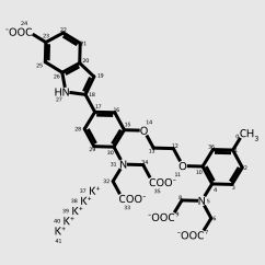 Cc1ccc(N(CC(=O)[O-])CC(=O)[O-])c(OCCOc2cc(-c3cc4ccc(C(=O)[O-])cc4[nH]3)ccc2N(CC(=O)[O-])CC(=O)[O-])c1.[K+].[K+].[K+].[K+].[K+]